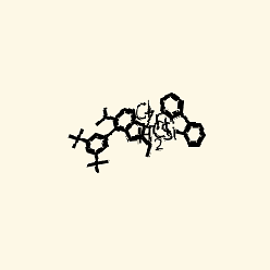 CCC1=Cc2c(ccc(C(C)C)c2-c2cc(C(C)(C)C)cc(C(C)(C)C)c2)[CH]1[Zr]([Cl])([Cl])[c]1cccc2c1[SiH2]c1ccccc1-2